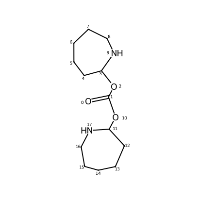 O=C(OC1CCCCCN1)OC1CCCCCN1